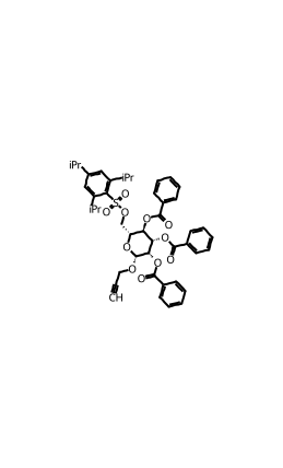 C#CCO[C@@H]1O[C@H](COS(=O)(=O)c2c(C(C)C)cc(C(C)C)cc2C(C)C)[C@@H](OC(=O)c2ccccc2)[C@H](OC(=O)c2ccccc2)[C@@H]1OC(=O)c1ccccc1